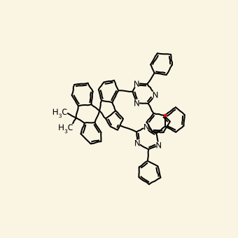 CC1(C)c2ccccc2C2(c3ccc(-c4nc(-c5ccccc5)nc(-c5ccccc5)n4)cc3-c3c(-c4nc(-c5ccccc5)nc(-c5ccccc5)n4)cccc32)c2ccccc21